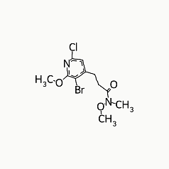 COc1nc(Cl)cc(CCC(=O)N(C)OC)c1Br